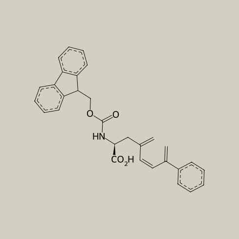 C=C(/C=C\C(=C)c1ccccc1)C[C@H](NC(=O)OCC1c2ccccc2-c2ccccc21)C(=O)O